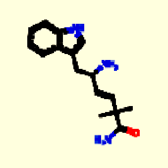 CC(C)(C=C[C@H](N)Cc1c[nH]c2ccccc12)C(N)=O